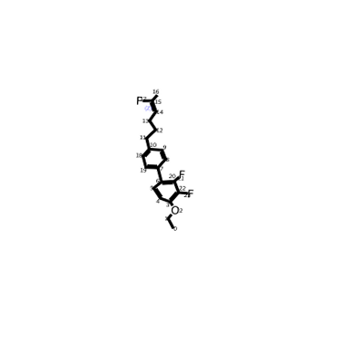 CCOc1ccc(-c2ccc(CCC/C=C(/C)F)cc2)c(F)c1F